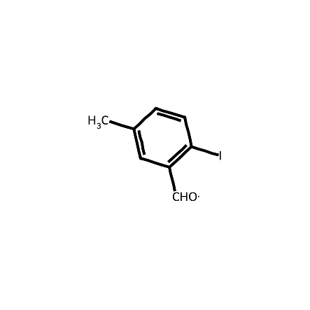 Cc1ccc(I)c([C]=O)c1